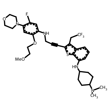 COCCOc1cc(N2CCOCC2)c(F)cc1NCC#Cc1sc2c(NC3CCC(N(C)C)CC3)cccc2c1CC(F)(F)F